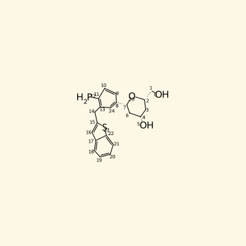 OC[C@@H]1C[C@H](O)C[C@H](c2ccc(P)c(Cc3cc4ccccc4s3)c2)O1